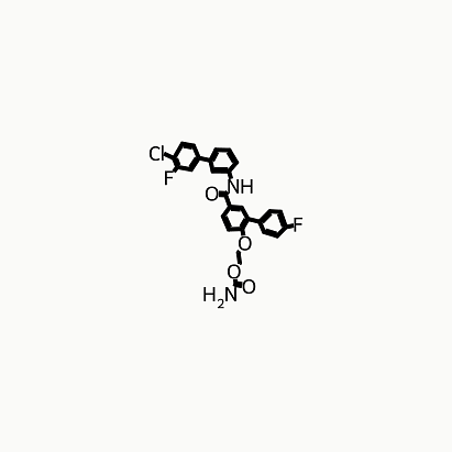 NC(=O)OCCOc1ccc(C(=O)Nc2cccc(-c3ccc(Cl)c(F)c3)c2)cc1-c1ccc(F)cc1